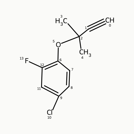 C#CC(C)(C)Oc1ccc(Cl)cc1F